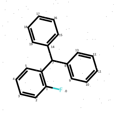 Fc1[c]cccc1C(c1ccccc1)c1ccccc1